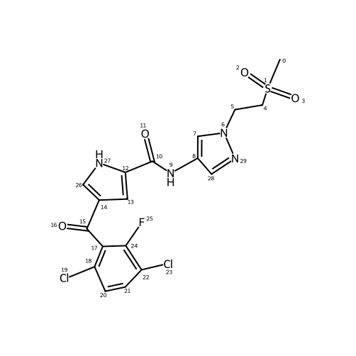 CS(=O)(=O)CCn1cc(NC(=O)c2cc(C(=O)c3c(Cl)ccc(Cl)c3F)c[nH]2)cn1